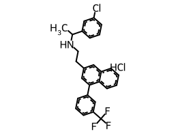 CC(NCCc1cc(-c2cccc(C(F)(F)F)c2)c2ccccc2c1)c1cccc(Cl)c1.Cl